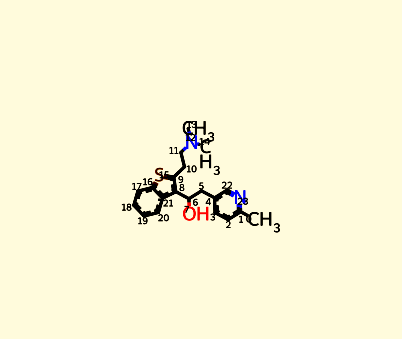 Cc1ccc(CC(O)c2c(CCN(C)C)sc3ccccc23)cn1